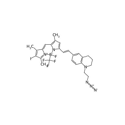 CC1=C(I)C(C)=[N+]2C1=Cc1c(C)cc(/C=C/c3ccc4c(c3)CCCN4CCN=[N+]=[N-])n1[B-]2(F)C(F)(F)F